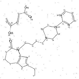 CCc1cc2c(s1)CCCC(=O)N2CCCCN1CCN(c2ncccn2)CC1.O=C(O)C=CC(=O)O